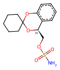 NS(=O)(=O)OC[C@H]1OC2(CCCCC2)Oc2ccccc21